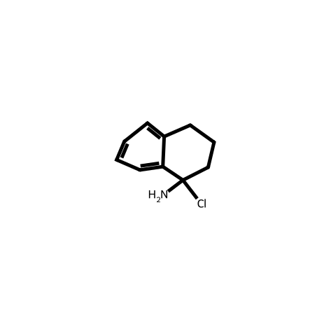 NC1(Cl)CCCc2ccccc21